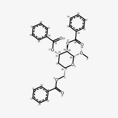 CO[C@@H]1O[C@H](COC(=O)c2ccccc2)C[C@H](OC(=O)c2ccccc2)[C@H]1OC(=O)c1ccccc1